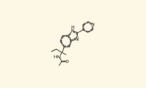 CCC(C)(NC(C)=O)c1ccc2[nH]c(-c3ccncc3)nc2c1